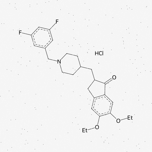 CCOc1cc2c(cc1OCC)C(=O)C(CC1CCN(Cc3cc(F)cc(F)c3)CC1)C2.Cl